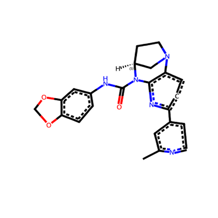 Cc1cc(-c2ccc3c(n2)N(C(=O)Nc2ccc4c(c2)OCO4)[C@H]2CCN3C2)ccn1